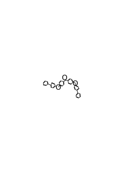 O=C(c1ccc(Oc2ccc(-c3ccccc3)cc2)cc1)c1ccc(Oc2ccc(-c3ccccc3)cc2)cc1